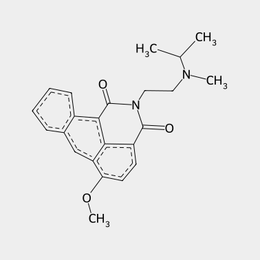 COc1ccc2c3c(c4ccccc4cc13)C(=O)N(CCN(C)C(C)C)C2=O